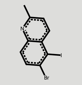 Cc1ccc2c(I)c(Br)ccc2n1